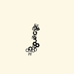 O=C1CCC(N2C(=O)c3cccc4c(Cc5cnn(C6CCN(C(=O)C7(C(F)(F)F)CCC7)CC6)c5)ccc2c34)C(=O)N1